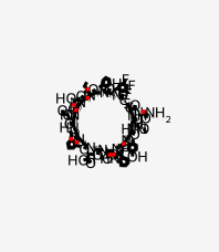 CCCC[C@H]1C(=O)N2C[C@H](O)C[C@@H]2C(=O)N[C@@H](COC=O)C(=O)N[C@@H](C(C)C)C(=O)N(C)[C@@H](Cc2ccccc2)C(=O)N[C@@H](CCC(=O)O)C(=O)N2CCOC[C@@H]2C(=O)N[C@@H](Cc2c[nH]c3ccccc23)C(=O)N[C@@H](Cc2ccc(O)cc2)C(=O)N[C@@H](CCOC)C(=O)N[C@H](C(=O)NCC(N)=O)CSCC(=O)N[C@@H](Cc2cc(F)c(F)c(F)c2)C(=O)N(C)[C@@H](Cc2ccccc2)C(=O)N1C